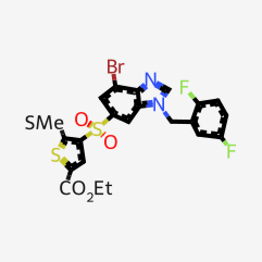 CCOC(=O)c1cc(S(=O)(=O)c2cc(Br)c3ncn(Cc4cc(F)ccc4F)c3c2)c(SC)s1